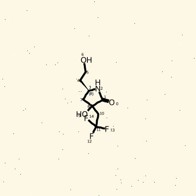 O=C1N[C@H](CCO)CC1(O)CC(F)(F)F